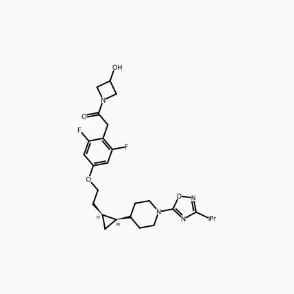 CC(C)c1noc(N2CCC([C@H]3C[C@H]3CCOc3cc(F)c(CC(=O)N4CC(O)C4)c(F)c3)CC2)n1